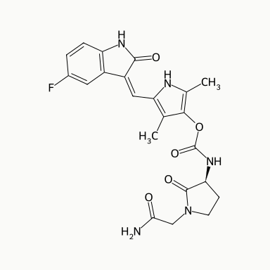 Cc1[nH]c(/C=C2\C(=O)Nc3ccc(F)cc32)c(C)c1OC(=O)N[C@H]1CCN(CC(N)=O)C1=O